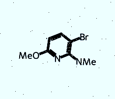 CNc1nc(OC)[c]cc1Br